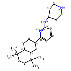 CC1(C)CCC(C)(C)C2CC(c3cccc(NC4CCNCC4)n3)CCC21